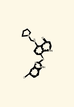 O=c1cc[nH]c2c(Sc3nc4cc(Cl)ccc4[nH]3)ccc(NCN3CCCC3)c12